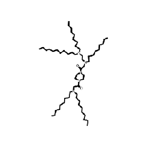 CCCCCCCCCCCN(CCCCCCCCC)CCN(CCCCCCCCC)CC(=O)N1CCN(C(=O)CN(CCCCCCCCC)CCCCCCCCCC)CC1